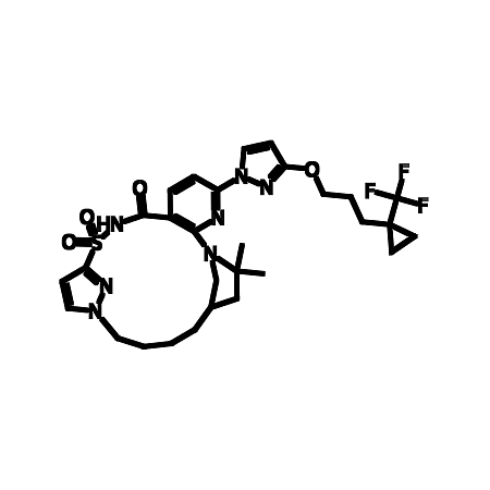 CC1(C)CC2CCCCn3ccc(n3)S(=O)(=O)NC(=O)c3ccc(-n4ccc(OCCCC5(C(F)(F)F)CC5)n4)nc3N1C2